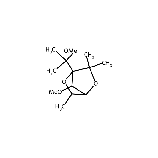 COC1C2OC(C)(C)C1(C(C)(C)OC)OC2C